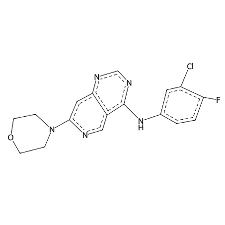 Fc1ccc(Nc2ncnc3cc(N4CCOCC4)ncc23)cc1Cl